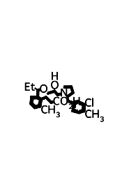 CC[C@@H](OC[C@H](O)CN1CCC[C@H]1Cc1ccc(C)c(Cl)c1)c1cccc(C)c1CCC(=O)O